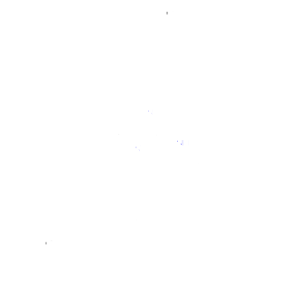 CCCOc1cc(SCn2c(N)[n+](CSc3ccc(Cl)c(OCCC)c3)c3ccccc32)ccc1Cl.[Cl-]